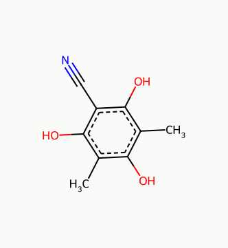 Cc1c(O)c(C)c(O)c(C#N)c1O